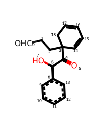 O=CCCC1(C(=O)C(O)c2ccccc2)C=CC=CC1